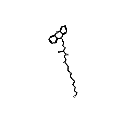 O=C(NCCOCCOCCCCCCCl)OCCN1c2ccccc2Oc2ccccc21